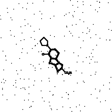 CCOC(=O)c1cn2c(n1)sc1c(Cl)c(N3CCCC3)ccc12